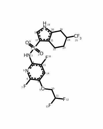 O=S(=O)(Nc1nc(F)c(OCC(F)F)cc1F)c1c[nH]c2c1CCC(C(F)(F)F)C2